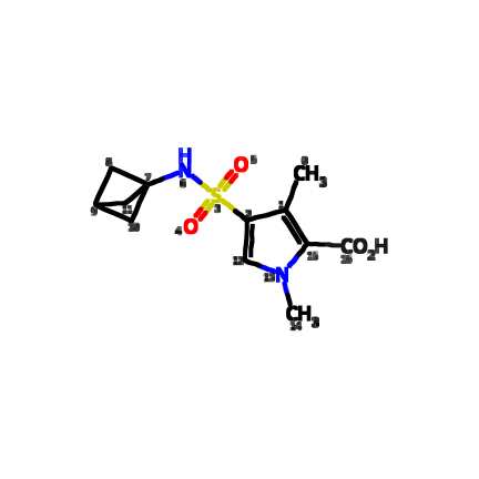 Cc1c(S(=O)(=O)NC23CC(C2)C3)cn(C)c1C(=O)O